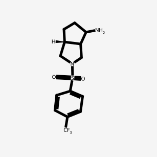 NC1CC[C@H]2CN(S(=O)(=O)c3ccc(C(F)(F)F)cc3)CC12